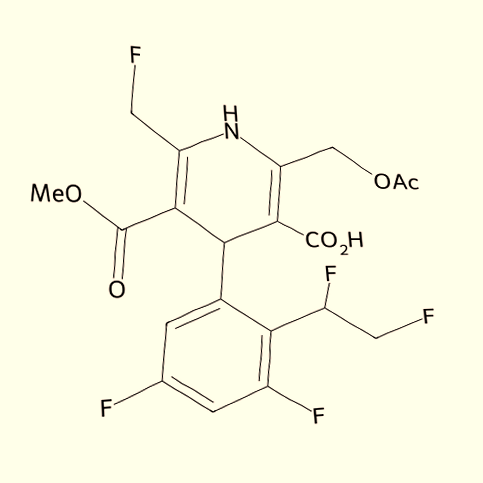 COC(=O)C1=C(CF)NC(COC(C)=O)=C(C(=O)O)C1c1cc(F)cc(F)c1C(F)CF